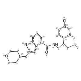 CC(C)CC(CNC(=O)c1cccc2nc(CN3CCOCC3)cn12)c1ccc(Cl)cc1